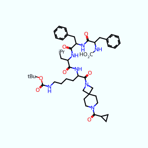 CC(C)CC(NC(=O)C(Cc1ccccc1)NC(=O)C(Cc1ccccc1)NC(=O)O)C(=O)NC(CCCCNC(=O)OC(C)(C)C)C(=O)N1CC2(CCN(C(=O)C3CC3)CC2)C1